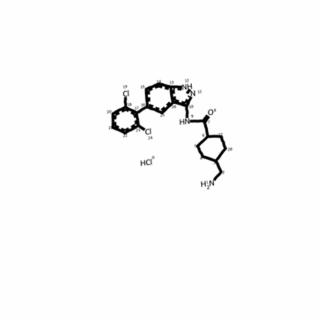 Cl.NCC1CCC(C(=O)Nc2n[nH]c3ccc(-c4c(Cl)cccc4Cl)cc23)CC1